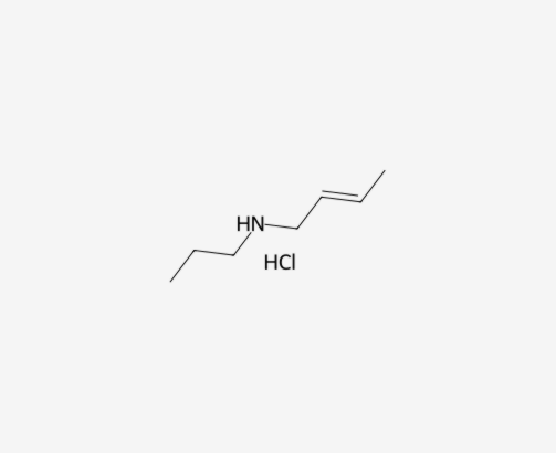 CC=CCNCCC.Cl